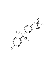 CC(C)(c1ccc(O)cc1)c1ccc(OP(=O)(O)O)cc1